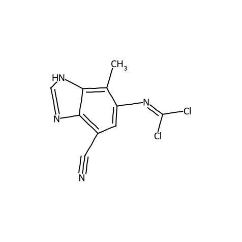 Cc1c(N=C(Cl)Cl)cc(C#N)c2nc[nH]c12